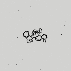 O=[N+]([O-])c1c(S(=O)(=O)c2ccccc2Cl)ccc2ncccc12